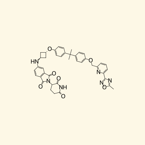 Cc1nc(-c2cccc(COc3ccc(C(C)(C)c4ccc(O[C@H]5C[C@H](Nc6ccc7c(c6)C(=O)N(C6CCC(=O)NC6=O)C7=O)C5)cc4)cc3)n2)no1